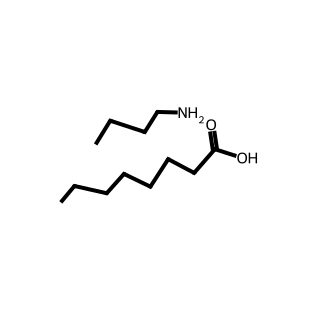 CCCCCCCC(=O)O.CCCCN